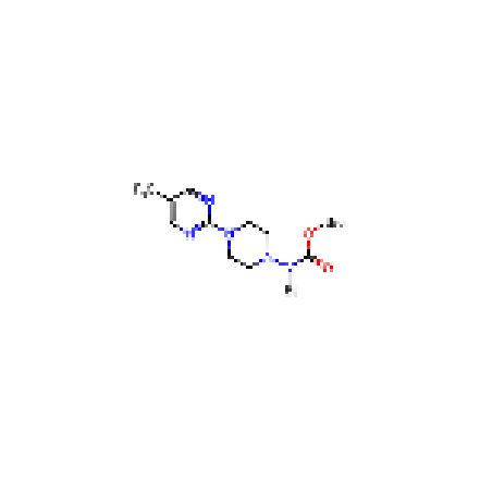 CCN(C(=O)OC(C)(C)C)N1CCN(c2ncc(C(F)(F)F)cn2)CC1